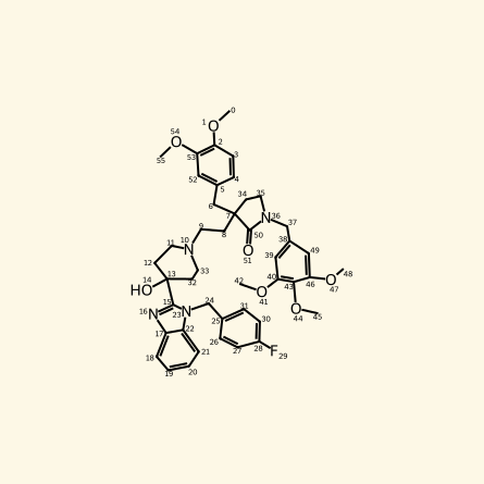 COc1ccc(CC2(CCN3CCC(O)(c4nc5ccccc5n4Cc4ccc(F)cc4)CC3)CCN(Cc3cc(OC)c(OC)c(OC)c3)C2=O)cc1OC